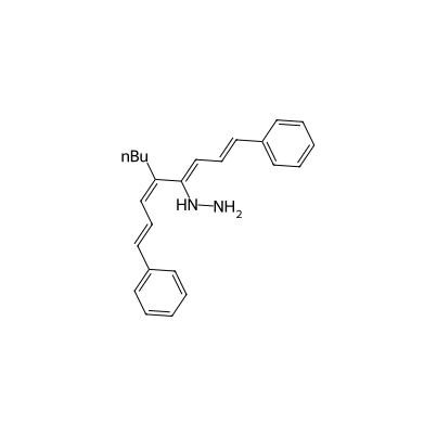 CCCCC(=CC=Cc1ccccc1)C(=CC=Cc1ccccc1)NN